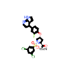 CNC(=O)[C@@H]1C[C@@H](Oc2ccc(-c3ccnc4[nH]ccc34)cc2F)CN1S(=O)(=O)c1cc(Cl)cc(Cl)c1